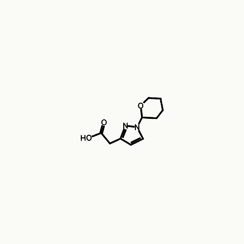 O=C(O)Cc1ccn(C2CCCCO2)n1